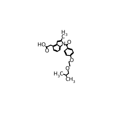 Cc1cc2c(CC(=O)O)cccc2n1C(=O)c1ccc(OCCOCC(C)C)cc1